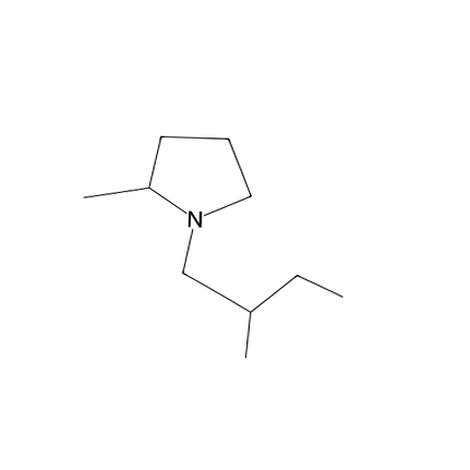 CCC(C)CN1CCCC1C